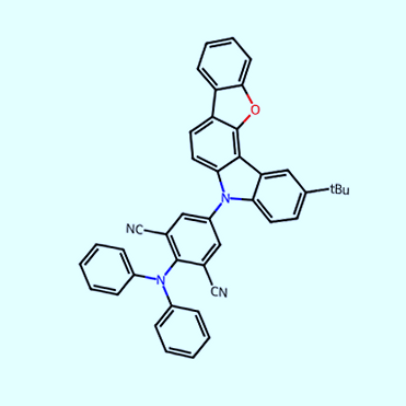 CC(C)(C)c1ccc2c(c1)c1c3oc4ccccc4c3ccc1n2-c1cc(C#N)c(N(c2ccccc2)c2ccccc2)c(C#N)c1